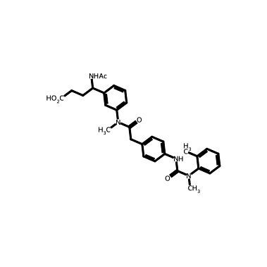 CC(=O)NC(CCC(=O)O)c1cccc(N(C)C(=O)Cc2ccc(NC(=O)N(C)c3ccccc3C)cc2)c1